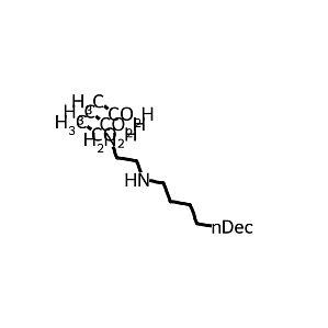 CC(=O)O.CC(=O)O.CC(=O)O.CCCCCCCCCCCCCCNCCN